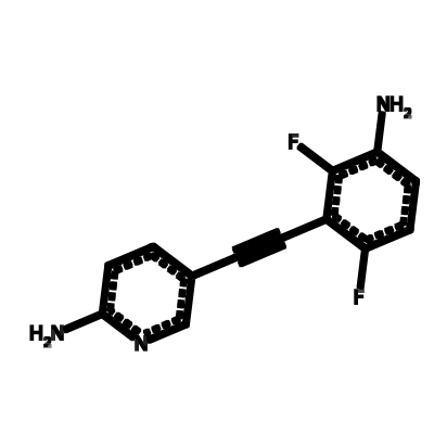 Nc1ccc(C#Cc2c(F)ccc(N)c2F)cn1